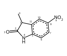 CC1C(=O)Nc2ccc([N+](=O)[O-])cc21